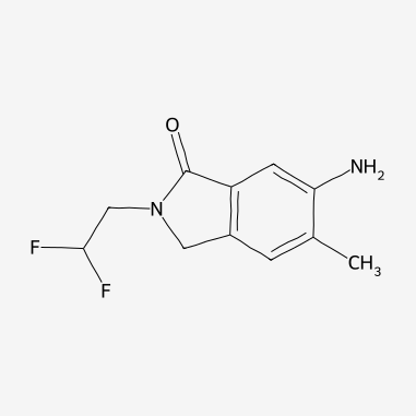 Cc1cc2c(cc1N)C(=O)N(CC(F)F)C2